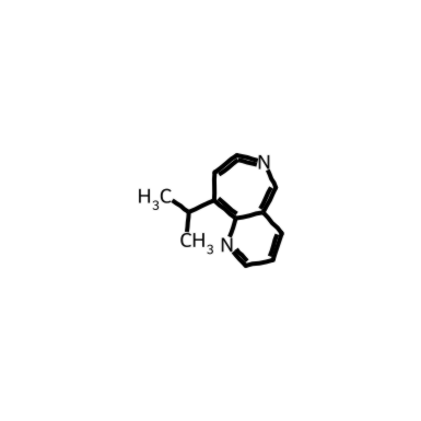 CC(C)C1=c2ncccc2=CN=C=C1